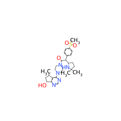 C[C@@H]1C[C@@H](O)c2ncnc(N3CCN(C(=O)C(c4ccc(S(C)(=O)=O)cc4)C4CCC(C)(C)N4)CC3)c21